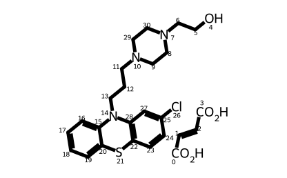 O=C(O)C=CC(=O)O.OCCN1CCN(CCCN2c3ccccc3Sc3ccc(Cl)cc32)CC1